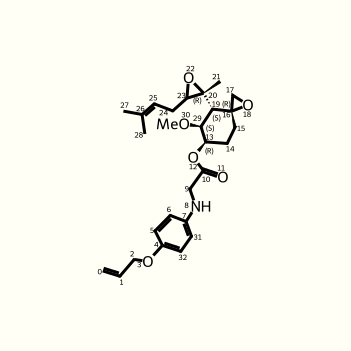 C=CCOc1ccc(NCC(=O)O[C@@H]2CC[C@]3(CO3)[C@@H]([C@@]3(C)OC3CC=C(C)C)[C@@H]2OC)cc1